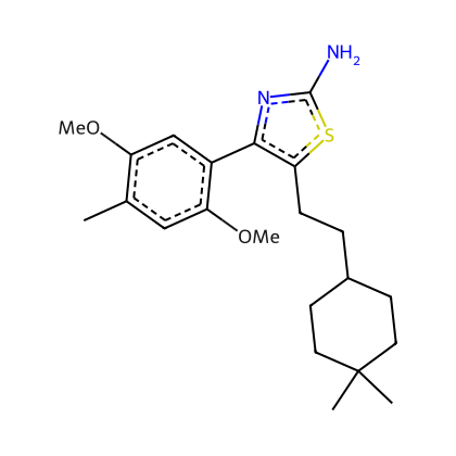 COc1cc(-c2nc(N)sc2CCC2CCC(C)(C)CC2)c(OC)cc1C